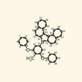 Cc1c(Oc2ccccc2)cc(-n2c3ccc4ccccc4c3c3c4ccccc4ccc32)cc1Oc1ccccc1